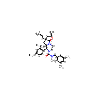 C=CCC1(CC=C)C[C@H]2C(c3ccc(C)cc3C)N(C(=O)N(C)Cc3cc(C(F)(F)F)cc(C(F)(F)F)c3)CCN2C1=O